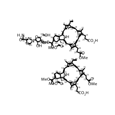 C=CC1=C(C)c2cc3[nH]c(cc4nc(cc5[nH]c(cc1n2)c(C)c5CCC(=O)O)C(CCC(=O)OC)=C4C)[C@@]1(C)C3=CC=C(C(=O)OC)[C@H]1C(=O)OC.C=CC1=C(C)c2cc3[nH]c(cc4nc(cc5[nH]c(cc1n2)c(C)c5CCC(=O)OC)C(CCC(=O)O)=C4C)[C@@]1(C)C3=CC=C(C(=O)OC)[C@H]1C(=O)OC.NC(=O)c1ncn([C@@H]2O[C@H](CO)[C@@H](O)[C@H]2O)n1